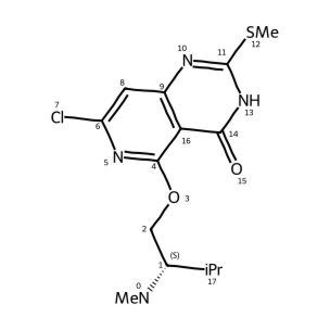 CN[C@H](COc1nc(Cl)cc2nc(SC)[nH]c(=O)c12)C(C)C